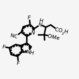 COC(C)(C)C(CC(=O)O)Nc1nc(-c2c[nH]c3c(F)cc(F)cc23)c(C#N)cc1F